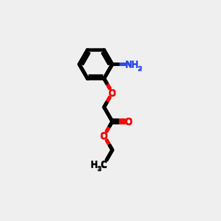 CCOC(=O)COc1ccccc1N